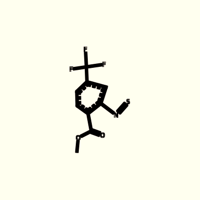 COC(=O)c1ccc(C(F)(F)F)cc1N=S